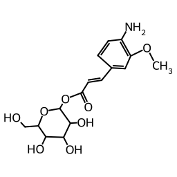 COc1cc(/C=C/C(=O)OC2OC(CO)C(O)C(O)C2O)ccc1N